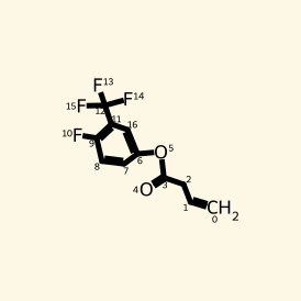 C=CCC(=O)Oc1ccc(F)c(C(F)(F)F)c1